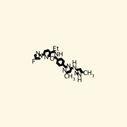 CC[C@@H](NC(=O)c1ccc(-c2nc(C)cc(Nc3cc(C)[nH]n3)n2)cc1)c1ccc(-n2cc(F)cn2)nc1